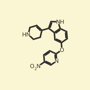 O=[N+]([O-])c1ccc(Oc2ccc3[nH]cc(C4=CCNCC4)c3c2)nc1